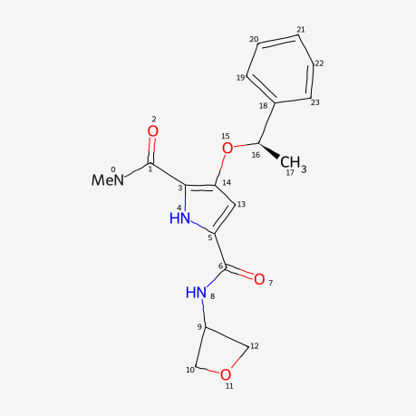 CNC(=O)c1[nH]c(C(=O)NC2COC2)cc1O[C@H](C)c1ccccc1